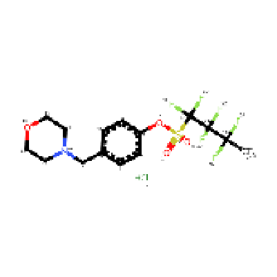 Cl.O=S(=O)(Oc1ccc(CN2CCOCC2)cc1)C(F)(F)C(F)(F)C(F)(F)C(F)(F)F